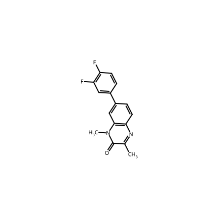 Cc1nc2ccc(-c3ccc(F)c(F)c3)cc2n(C)c1=O